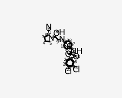 N#C[C@@H]1CCCN1C(=O)CNC12CCC(NS(=O)(=O)c3ccc(Cl)c(Cl)c3)(CC1)CC2